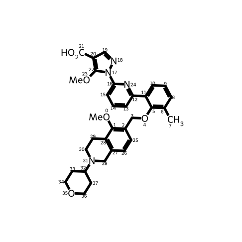 COc1c(COc2c(C)cccc2-c2cccc(-n3ncc(C(=O)O)c3OC)n2)ccc2c1CCN(C1CCOCC1)C2